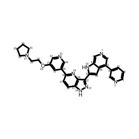 c1cncc(-c2cncc3[nH]c(-c4n[nH]c5ccc(-c6cncc(OCCN7CCCC7)c6)nc45)cc23)c1